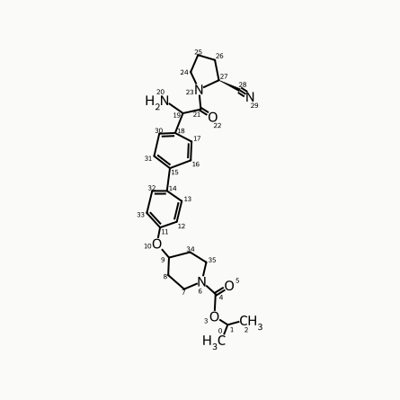 CC(C)OC(=O)N1CCC(Oc2ccc(-c3ccc(C(N)C(=O)N4CCC[C@H]4C#N)cc3)cc2)CC1